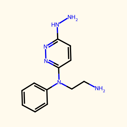 NCCN(c1ccccc1)c1ccc(NN)nn1